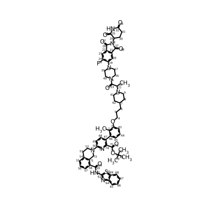 Cc1c(OCCCC2CCN(C(C)C(=O)N3CCN(c4cc5c(cc4F)C(=O)N(C4CCC(=O)NC4=O)C5=O)CC3)CC2)cccc1-c1ccc(N2CCc3cccc(C(=O)Nc4nc5ccccc5s4)c3C2)nc1C(=O)OC(C)(C)C